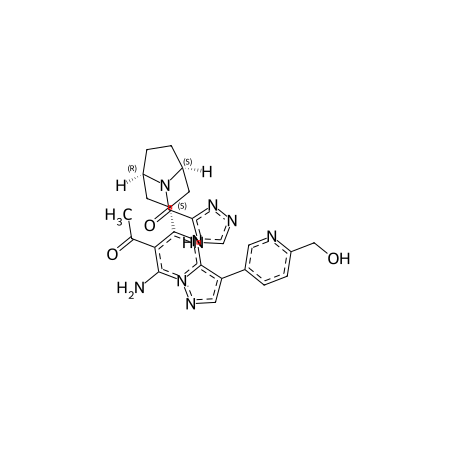 CC(=O)c1c([C@@H]2C[C@H]3CC[C@@H](C2)N3C(=O)c2nnc[nH]2)nc2c(-c3ccc(CO)nc3)cnn2c1N